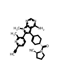 C#Cc1ccc(-c2c(C3=CC[C@@H](C(=O)N4CCC[C@H]4C#N)CC3)c3c(N)ncnc3n2C)c(C)n1